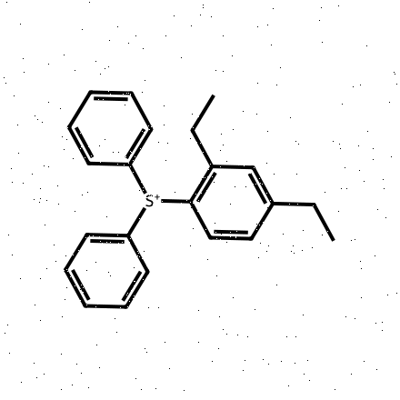 CCc1ccc([S+](c2ccccc2)c2ccccc2)c(CC)c1